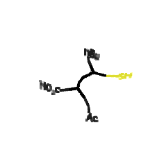 CCCCC(S)C(C(C)=O)C(=O)O